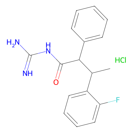 CC(c1ccccc1F)C(C(=O)NC(=N)N)c1ccccc1.Cl